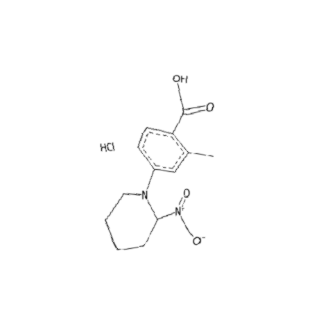 Cc1cc(N2CCCCC2[N+](=O)[O-])ccc1C(=O)O.Cl